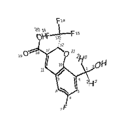 [2H]C([2H])(O)c1cc(F)cc2c1O[C@@H](C(F)(F)F)C(C(=O)O)=C2